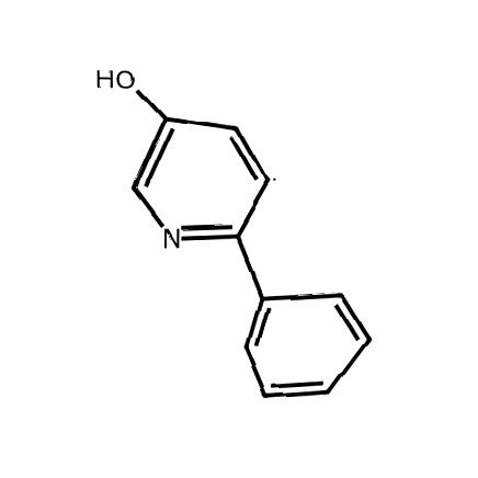 Oc1c[c]c(-c2ccccc2)nc1